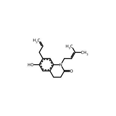 C=CCc1cc2c(cc1O)CCC(=O)N2CC=C(C)C